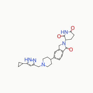 O=C1CCC(N2Cc3cc(C4CCN(Cc5cc(C6CC6)[nH]n5)CC4)ccc3C2=O)C(=O)N1